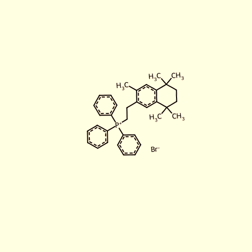 Cc1cc2c(cc1CC[P+](c1ccccc1)(c1ccccc1)c1ccccc1)C(C)(C)CCC2(C)C.[Br-]